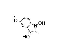 COc1ccc2c(c1)N(O)C(C)N2O